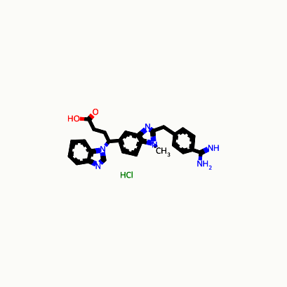 Cl.Cn1c(Cc2ccc(C(=N)N)cc2)nc2cc(C(CCC(=O)O)n3cnc4ccccc43)ccc21